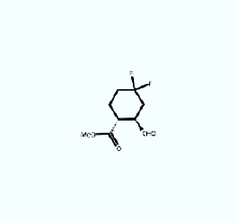 COC(=O)[C@@H]1CCC(F)(F)C[C@H]1C=O